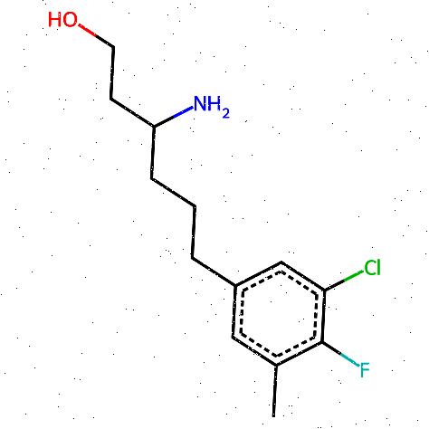 Cc1cc(CCCC(N)CCO)cc(Cl)c1F